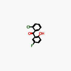 O=C(c1cc(F)ccc1O)c1ccccc1Cl